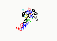 CN(Cc1ccccc1)Cc1c(-c2ccc(NC(=O)NO)cc2)sc2c1c(=O)n(-c1ccccc1)c(=O)n2Cc1c(F)cccc1F.Cl